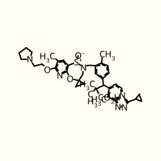 Cc1ccc(C(c2ccn3c(C4CC4)nnc3c2C)C(C)(C)C(=O)O)cc1CN1CC2(CC2)Oc2nc(OCCN3CCCC3)c(C)cc2[S+]1[O-]